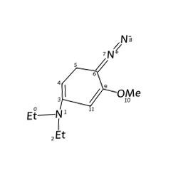 CCN(CC)C1=CCC(=[N+]=[N-])C(OC)=C1